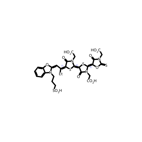 CC/C(C=C1Oc2ccccc2N1CCCS(=O)(=O)O)=c1\s/c(=c2/s/c(=C3/OC(=S)N(CC(=O)O)C3=O)n(CC(=O)O)c2=O)n(CC(=O)O)c1=O